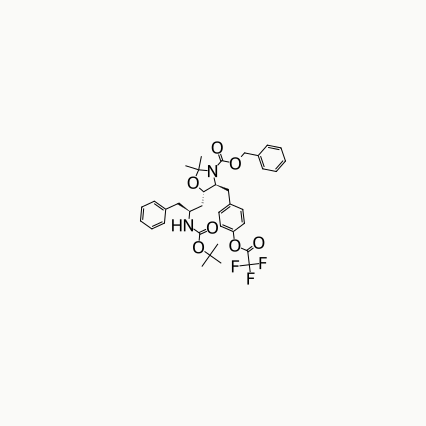 CC(C)(C)OC(=O)N[C@@H](Cc1ccccc1)C[C@@H]1OC(C)(C)N(C(=O)OCc2ccccc2)[C@H]1Cc1ccc(OC(=O)C(F)(F)F)cc1